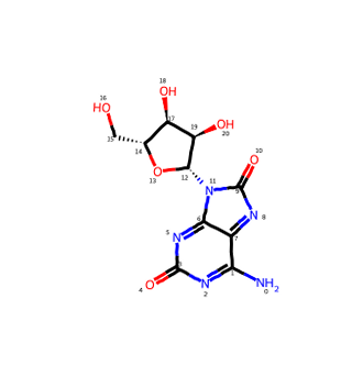 NC1=NC(=O)N=C2C1=NC(=O)N2[C@@H]1O[C@H](CO)[C@@H](O)[C@H]1O